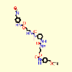 N#COCc1ccc(NC(=O)OCCCNC(=O)NC2CCCC(NC(=O)NCCCOC(=O)Nc3ccc(CN=C=O)cc3)C2)cc1